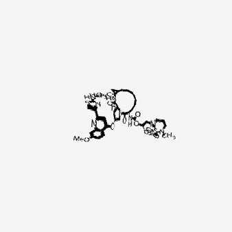 COc1ccc2c(O[C@@H]3C[C@H]4C(=O)N[C@]5(C(=O)O)CC5/C=C\CCCCC[C@H](NC(=O)O[C@H](CN5CCCN(C)S5(=O)=O)C(C)(C)C)C(=O)N4C3)cc(-c3csc(NC(C)C)n3)nc2c1